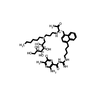 CCCCCCN(CCCN[C@@H](Cc1ccc(CCCCNC(=N)NC(=O)c2nc(Cl)c(N)nc2N)c2ccccc12)C(N)=O)C[C@H](O)[C@@H](O)[C@H](O)[C@H](O)CO